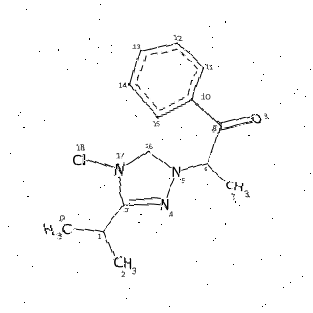 CC(C)C1=NN(C(C)C(=O)c2ccccc2)CN1Cl